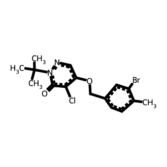 Cc1ccc(COc2cnn(C(C)(C)C)c(=O)c2Cl)cc1Br